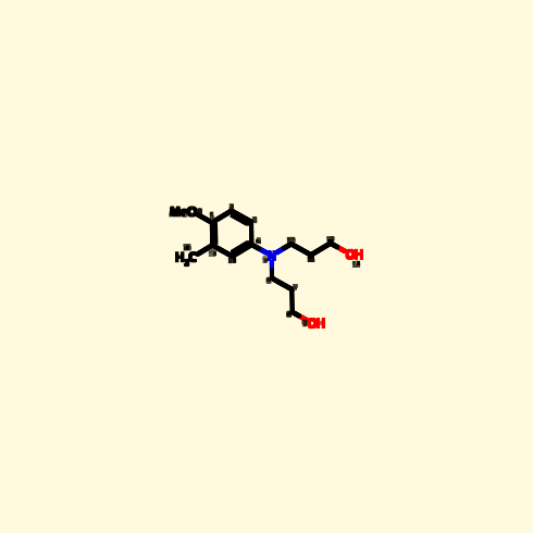 COc1ccc(N(CCCO)CCCO)cc1C